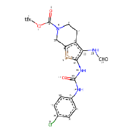 CC(C)(C)OC(=O)N1CCc2c(sc(NC(=O)Nc3ccc(Cl)cc3)c2NC=O)C1